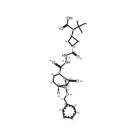 CC(C)(C)N(C(=O)O)[C@H]1C[C@H](C(=O)NNC(=O)[C@@H]2CC[C@@H]3CN2C(=O)N3OCc2ccccc2)C1